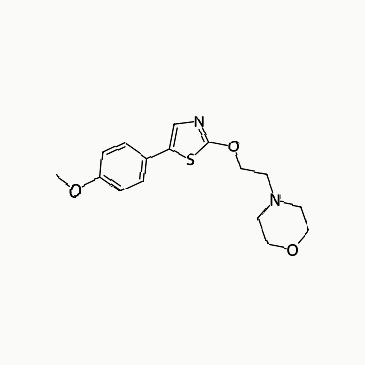 COc1ccc(-c2cnc(OCCN3CCOCC3)s2)cc1